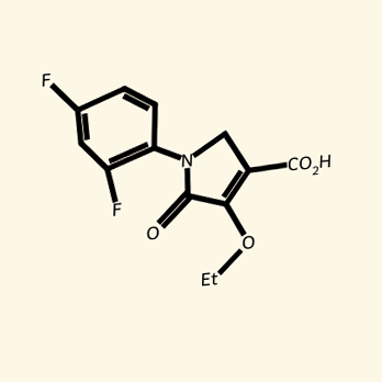 CCOC1=C(C(=O)O)CN(c2ccc(F)cc2F)C1=O